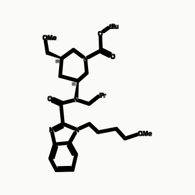 COCCCCn1c(C(=O)N(CC(C)C)[C@H]2C[C@@H](COC)CN(C(=O)OC(C)(C)C)C2)nc2ccccc21